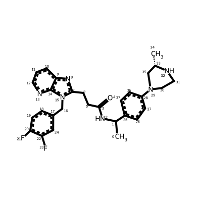 CC(NC(=O)CCc1nc2cccnc2n1Cc1ccc(F)c(F)c1)c1ccc(N2CCN[C@@H](C)C2)cc1